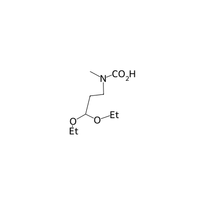 CCOC(CCN(C)C(=O)O)OCC